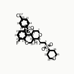 O=S(=O)(CC[C@@H]1OCC[C@@]2(S(=O)(=O)c3ccc(Cl)cc3)c3c(F)ccc(F)c3OC[C@@H]12)C1CCOCC1